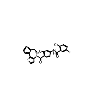 Cc1cc(NC(=O)c2cc(F)ccc2Cl)ccc1C(=O)N1CCc2ccccc2-c2sccc21